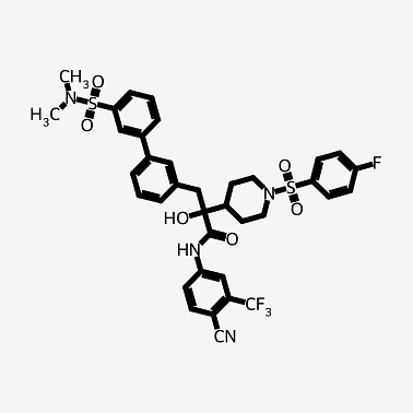 CN(C)S(=O)(=O)c1cccc(-c2cccc(CC(O)(C(=O)Nc3ccc(C#N)c(C(F)(F)F)c3)C3CCN(S(=O)(=O)c4ccc(F)cc4)CC3)c2)c1